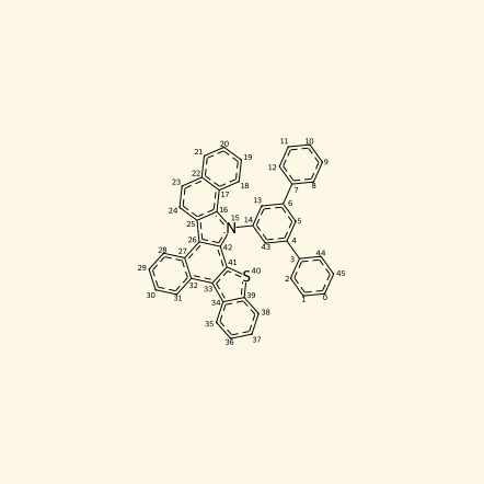 c1ccc(-c2cc(-c3ccccc3)cc(-n3c4c5ccccc5ccc4c4c5ccccc5c5c6ccccc6sc5c43)c2)cc1